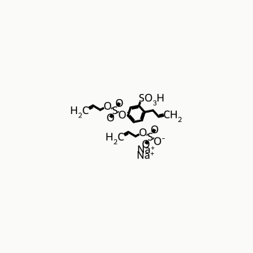 C=CCOS(=O)(=O)[O-].C=CCOS(=O)(=O)[O-].C=CCc1ccccc1S(=O)(=O)O.[Na+].[Na+]